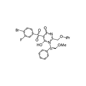 COC[C@@H](c1ccccc1)n1c(COC(C)C)nc(=O)c(S(=O)(=O)c2ccc(Br)c(F)c2)c1O